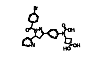 O=C(c1ccc(Br)cc1)N1N=C(c2ccc(N(C(=O)O)C3CS(O)(O)C3)cc2)CC1c1ccccn1